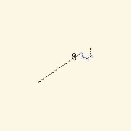 CCCCC/C=C\C/C=C\C/C=C\C/C=C\CCCC(=O)OCCCCCCCCCCCCCCCCCCCCCCCCCCCC